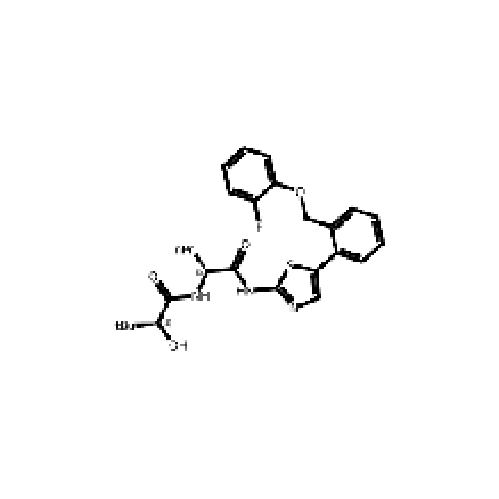 CCC[C@H](NC(=O)[C@@H](O)C(C)(C)C)C(=O)Nc1ncc(-c2ccccc2COc2ccccc2F)s1